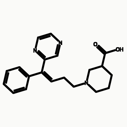 O=C(O)C1CCCN(CC/C=C(/c2ccccc2)c2cnccn2)C1